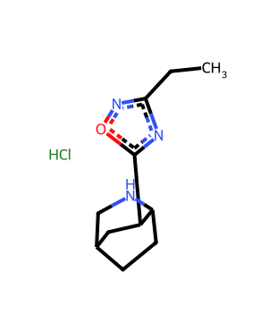 CCc1noc(C2CC3CCC2NC3)n1.Cl